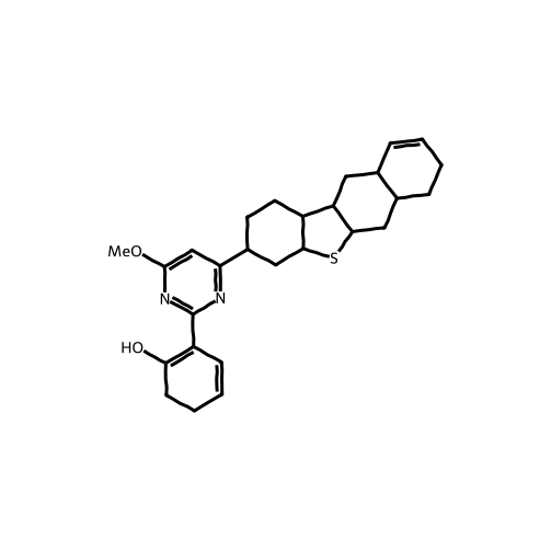 COc1cc(C2CCC3C(C2)SC2CC4CCC=CC4CC23)nc(C2=C(O)CCC=C2)n1